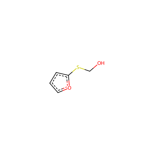 OCSc1ccco1